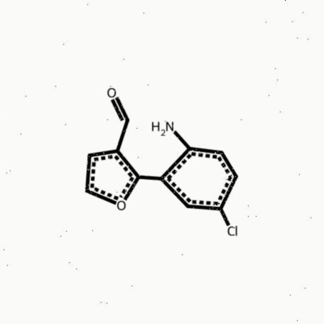 Nc1ccc(Cl)cc1-c1occc1C=O